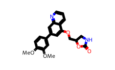 COc1ccc(-c2cc(OCC3CNC(=O)O3)c3cccnc3c2)cc1OC